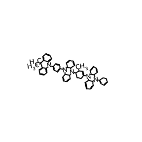 CC1C=C(N2C3C=CC=CC3N(C3=CC=CCC3)C3C=CC=CC32)CCC1N1C2C=CC=CC2N(c2ccc(N3c4ccccc4C(C)(C)c4ccccc43)cc2)C2C=CC=CC21